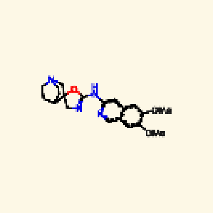 COc1cc2cnc(NC3=NC[C@@]4(CN5CCC4CC5)O3)cc2cc1OC